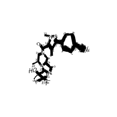 Cc1c(-c2ccc(C#N)cc2)nn(C)c1C(=O)N1Cc2cnc([C@@](C)(O)C(F)(F)F)n2[C@@H](C)C1